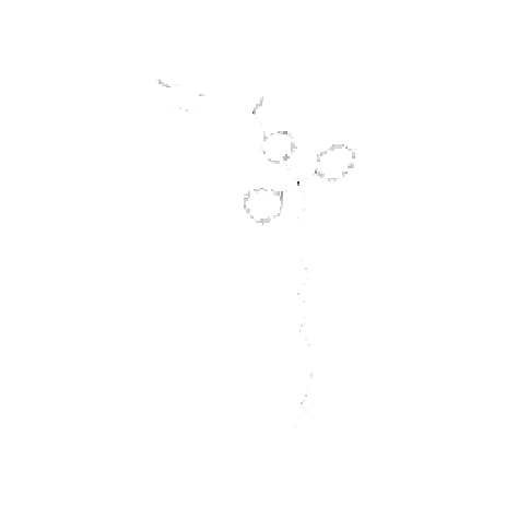 CCCCCCCCCCOCCOCCOCCOCCOC(c1ccccc1)(c1ccccc1)c1ccc(C(=O)OCC2COC(=O)O2)cc1